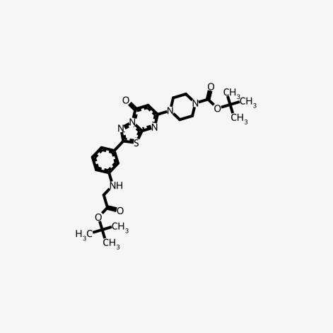 CC(C)(C)OC(=O)CNc1cccc(-c2nn3c(=O)cc(N4CCN(C(=O)OC(C)(C)C)CC4)nc3s2)c1